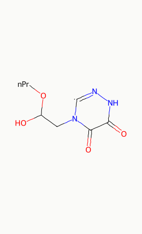 CCCOC(O)Cn1[c]n[nH]c(=O)c1=O